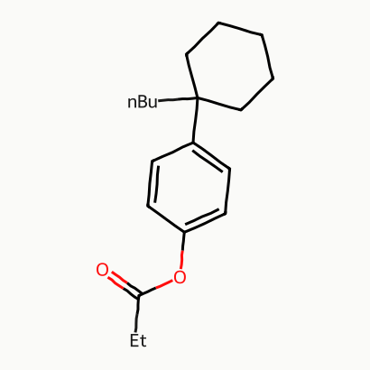 CCCCC1(c2ccc(OC(=O)CC)cc2)CCCCC1